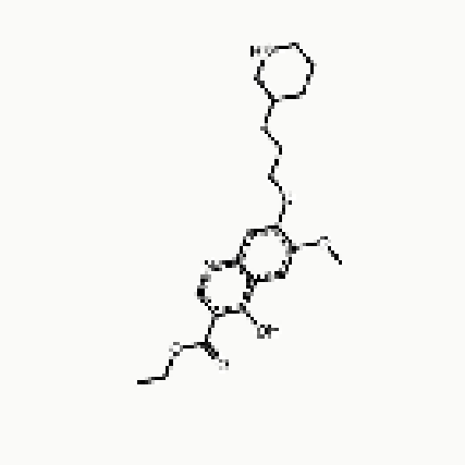 CCOC(=O)c1cnc2cc(OCCCC3CCCNC3)c(OC)cc2c1O